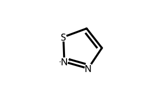 C1=CS[N+]=N1